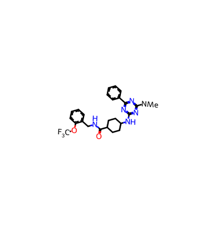 CNc1nc(NC2CCC(C(=O)NCc3ccccc3OC(F)(F)F)CC2)nc(-c2ccccc2)n1